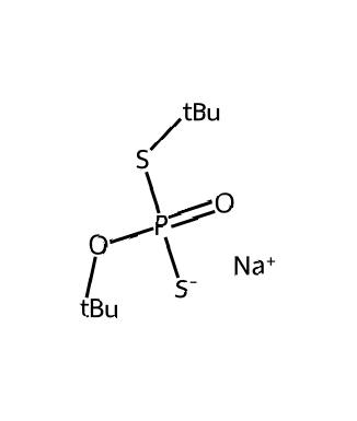 CC(C)(C)OP(=O)([S-])SC(C)(C)C.[Na+]